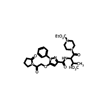 CCOC(=O)N1CCN(C(=O)C(NC(=O)c2cc(OCC(=O)N3CCCC3=O)n(-c3ccccc3)n2)C(C)C(=O)O)CC1